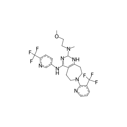 COCCN(C)C1N=C(Nc2ccc(C(F)(F)F)nc2)C2=C(CCN(c3ncccc3C(F)(F)F)CC2)N1